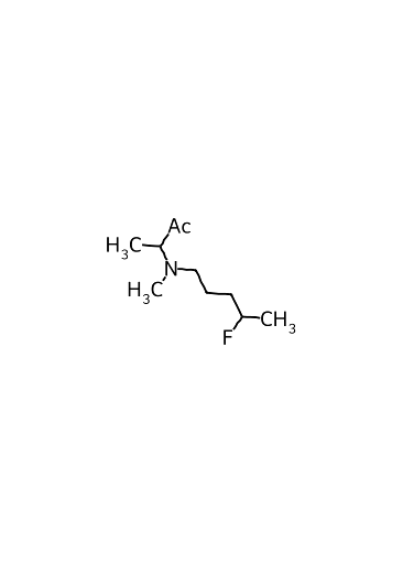 CC(=O)C(C)N(C)CCCC(C)F